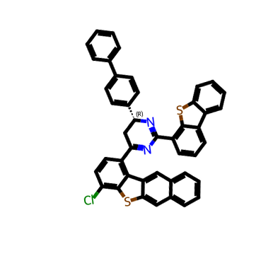 Clc1ccc(C2=NC(c3cccc4c3sc3ccccc34)=N[C@@H](c3ccc(-c4ccccc4)cc3)C2)c2c1sc1cc3ccccc3cc12